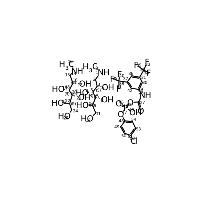 CNC[C@H](O)[C@@H](O)[C@H](O)[C@H](O)CO.CNC[C@H](O)[C@@H](O)[C@H](O)[C@H](O)CO.O=C(Nc1cc(C(F)(F)F)cc(C(F)(F)F)c1)OP(=O)(O)Oc1ccc(Cl)cc1